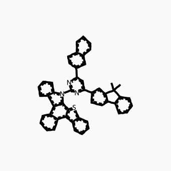 CC1(C)c2ccccc2-c2ccc(-c3cc(-c4ccc5ccccc5c4)nc(-n4c5ccccc5c5c6ccccc6c6c7ccccc7sc6c54)n3)cc21